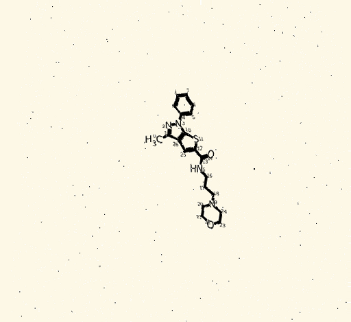 Cc1nn(-c2ccccc2)c2sc(C(=O)NCCCN3CCOCC3)cc12